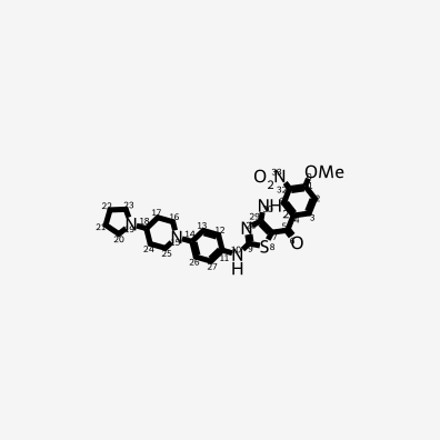 COc1ccc(C(=O)c2sc(Nc3ccc(N4CCC(N5CCCC5)CC4)cc3)nc2N)cc1[N+](=O)[O-]